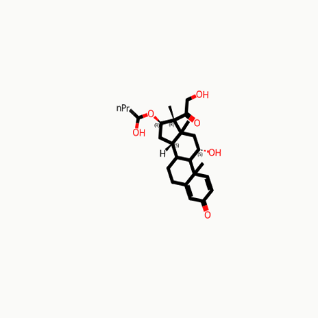 CCCC(O)O[C@@H]1C[C@H]2C3CCC4=CC(=O)C=CC4(C)C3[C@@H](O)CC2(C)[C@@]1(C)C(=O)CO